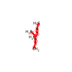 C=CC(=O)OCCCCOC(=O)C(=C)/C(=C\C=C\OC(=O)C1CCC(C(=O)Oc2ccc(OCCCCOC(=O)CC)cc2)CC1)OC(=O)C1CCC(C(=O)Oc2ccc(OCCCCOC(=O)C=C)cc2)CC1